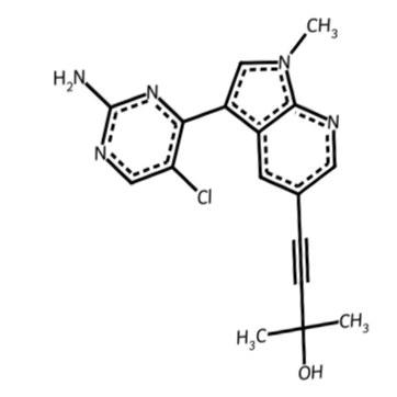 Cn1cc(-c2nc(N)ncc2Cl)c2cc(C#CC(C)(C)O)cnc21